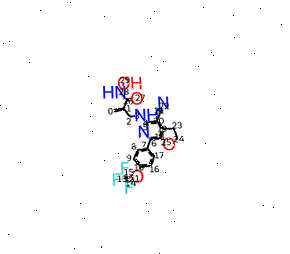 C=C(CNc1nc(-c2ccc(OC(F)(F)F)cc2)c2c(c1C#N)CCO2)C(=O)NO